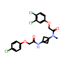 CN(C(=O)COc1ccc(Cl)c(Cl)c1)C12CC(NC(=O)COc3ccc(Cl)cc3)(C1)C2